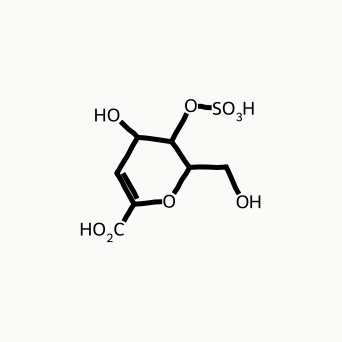 O=C(O)C1=CC(O)C(OS(=O)(=O)O)C(CO)O1